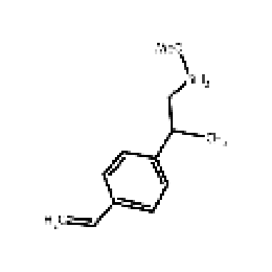 C=Cc1ccc(C(C)C[SiH2]OC)cc1